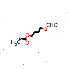 C=CC(=O)OCCCCOC=O